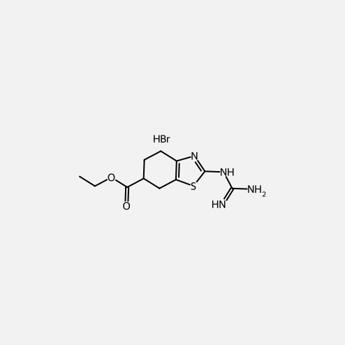 Br.CCOC(=O)C1CCc2nc(NC(=N)N)sc2C1